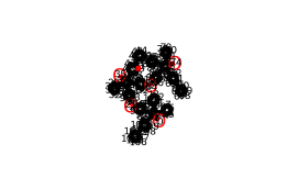 O=C1C(c2ccccc2)=C(c2ccccc2)C(c2ccc(Oc3ccc(C4=C(c5ccccc5)C(=O)C(c5ccc(-c6ccccc6)cc5)=C4c4ccc(Oc5ccc(C6=C(c7ccc(-c8ccccc8)cc7)C(=O)C(c7ccccc7)=C6c6ccccc6)cc5)cc4)cc3)cc2)=C1c1ccc(-c2ccccc2)cc1